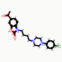 CC(=O)c1ccc2c(c1)oc(=O)n2CCCCN1CCN(c2ccc(Cl)cc2)CC1